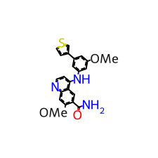 COc1cc(Nc2ccnc3cc(OC)c(C(N)=O)cc23)cc(-c2ccsc2)c1